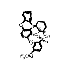 O=S(=O)(N[C@@H]1CCCC(N2c3ccccc3Oc3ccc(C(F)(F)F)cc32)[C@H]1O)c1ccc(OC(F)(F)F)cc1